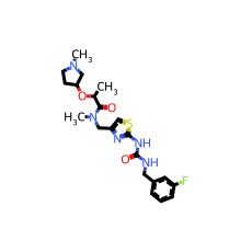 CC(OC1CCN(C)C1)C(=O)N(C)Cc1csc(NC(=O)NCc2cccc(F)c2)n1